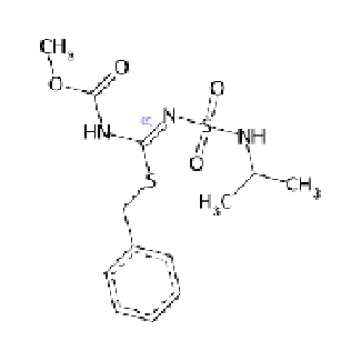 COC(=O)N/C(=N/S(=O)(=O)NC(C)C)SCc1ccccc1